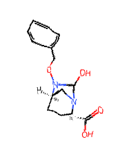 O=C(O)[C@@H]1CC[C@@H]2CN1C(O)N2OCc1ccccc1